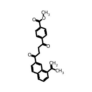 C=C(C)c1cccc2ccc(C(=O)CCC(=O)c3ccc(C(=O)OC)cc3)cc12